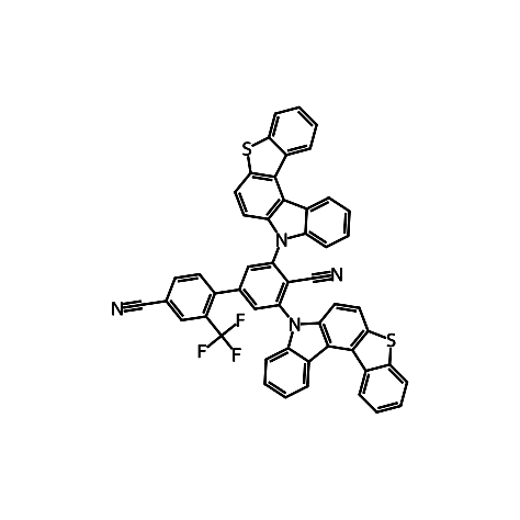 N#Cc1ccc(-c2cc(-n3c4ccccc4c4c5c(ccc43)sc3ccccc35)c(C#N)c(-n3c4ccccc4c4c5c(ccc43)sc3ccccc35)c2)c(C(F)(F)F)c1